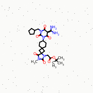 CN1C(=O)N(CC(=O)OC(C)(C)C)C2(CC3(CCC(N4C(=O)C(=C(N)N)C(=O)N(CC5CCCC5)C4=O)CC3)C2)C1=O